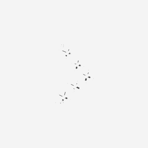 O=S(=O)([O-])Cl.O=S(=O)([O-])Cl.O=S(=O)([O-])Cl.O=S(=O)([O-])Cl.O=S(=O)([O-])Cl.[Al+3].[Ca+2]